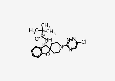 CC(C)(C)[S@@+]([O-])N[C@@H]1c2ccccc2OC12CCN(c1ncc(Cl)nn1)CC2